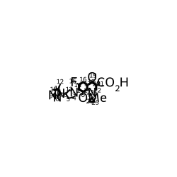 COc1c(N2CCC(n3nncc3C)C2)c(F)cc2c(=O)c(C(=O)O)cn(C3CC3)c12